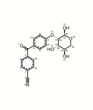 N#Cc1ccc(C(=O)c2ccc(O[C@H]3[C@@H](O)[C@H](O)CO[C@@H]3O)cc2)cc1